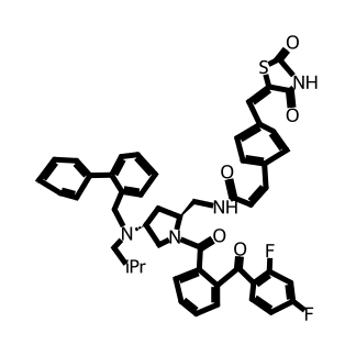 CC(C)CN(Cc1ccccc1-c1ccccc1)[C@@H]1C[C@@H](CNC(=O)/C=C\c2ccc(/C=C3/SC(=O)NC3=O)cc2)N(C(=O)c2ccccc2C(=O)c2ccc(F)cc2F)C1